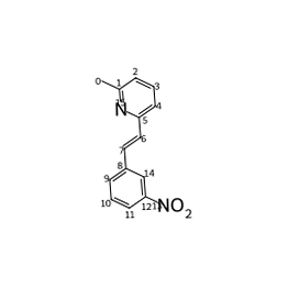 Cc1cccc(C=Cc2cccc([N+](=O)[O-])c2)n1